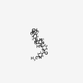 Cc1ccc(C(=O)N2CCCC(Nc3ncnc4c3cnn4-c3ccc(S(C)(=O)=O)cc3)C2)cn1